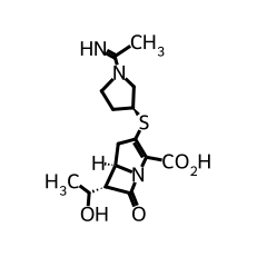 CC(=N)N1CC[C@H](SC2=C(C(=O)O)N3C(=O)[C@H](C(C)O)[C@H]3C2)C1